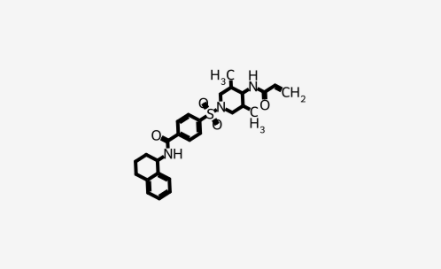 C=CC(=O)NC1C(C)CN(S(=O)(=O)c2ccc(C(=O)NC3CCCc4ccccc43)cc2)CC1C